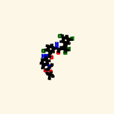 Cc1ccc(NC(=O)c2cc(NC(=O)C3C(c4cc(Cl)cc(Cl)c4)C3(Cl)Cl)ccc2Cl)cc1N(C)C(=O)OC(C)(C)C